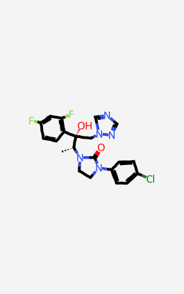 C[C@@H](N1CCN(c2ccc(Cl)cc2)C1=O)[C@](O)(Cn1cncn1)c1ccc(F)cc1F